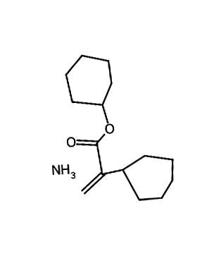 C=C(C(=O)OC1CCCCC1)C1CCCCC1.N